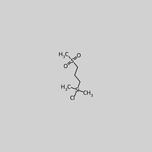 C[Si](C)(Cl)CCCS(C)(=O)=O